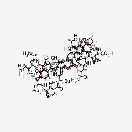 CC[C@H](C)[C@H](NC(=O)[C@H](CC(C)C)NC(=O)[C@H](CC(C)C)NC(=O)[C@H](CCCCN)NC(=O)[C@H](CC(N)=O)NC(=O)[C@@H](NC(=O)[C@H](CCCCN)NC(=O)CN)[C@@H](C)O)C(=O)N[C@@H](Cc1ccc(O)cc1)C(=O)N[C@@H](CO)C(=O)NCC(=O)N[C@@H](CO)C(=O)N[C@H](C(=O)N[C@@H](CC(C)C)C(=O)N[C@@H](CCC(N)=O)C(=O)N[C@@H](CO)C(=O)NCC(=O)N[C@H](C(=O)N1CCC[C@H]1C(=O)N[C@@H](CO)C(=O)O)[C@@H](C)CC)[C@@H](C)O